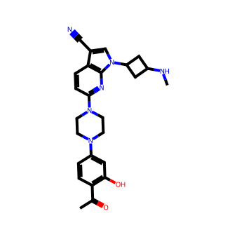 CNC1CC(n2cc(C#N)c3ccc(N4CCN(c5ccc(C(C)=O)c(O)c5)CC4)nc32)C1